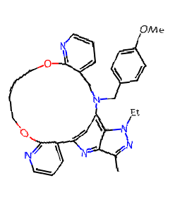 CCn1nc(C)c2nc3cc(c21)N(Cc1ccc(OC)cc1)Cc1cccnc1OCCCCOc1ncccc1-3